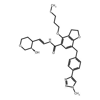 CSCCCOc1c(C(=O)N/C=C/C2CCOC[C@@H]2O)cc(Cc2ccc(-c3cn(C)nn3)cc2)c2c1CCO2